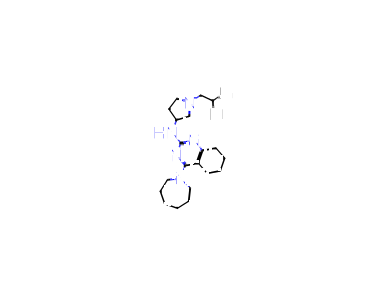 CCC(CC)CN1CCC(Nc2nc3c(c(N4CCCCCC4)n2)CCCC3)C1